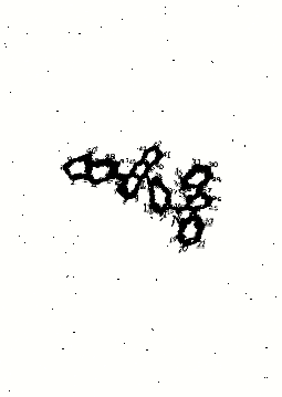 c1ccc2cc(-c3cccc4c(-c5ccc(-c6nc7ccccc7c7ccc8c9ccccc9sc8c67)cc5)c5ccccc5cc34)ccc2c1